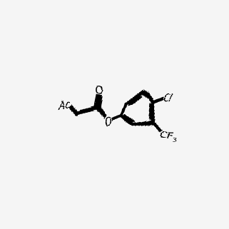 CC(=O)CC(=O)Oc1ccc(Cl)c(C(F)(F)F)c1